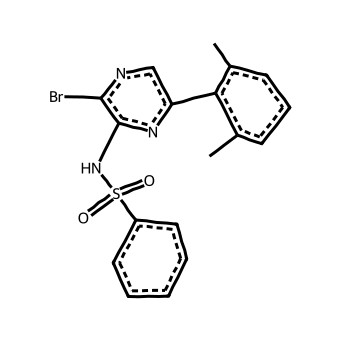 Cc1cccc(C)c1-c1cnc(Br)c(NS(=O)(=O)c2ccccc2)n1